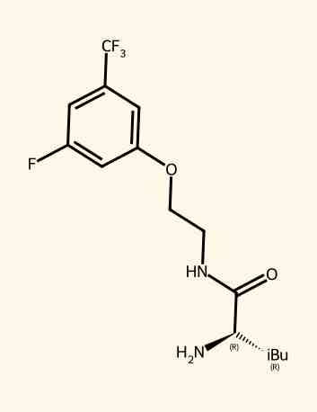 CC[C@@H](C)[C@@H](N)C(=O)NCCOc1cc(F)cc(C(F)(F)F)c1